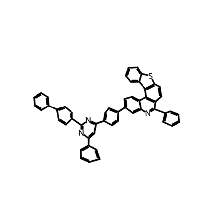 c1ccc(-c2ccc(-c3nc(-c4ccccc4)cc(-c4ccc(-c5ccc6c(c5)nc(-c5ccccc5)c5ccc7sc8ccccc8c7c56)cc4)n3)cc2)cc1